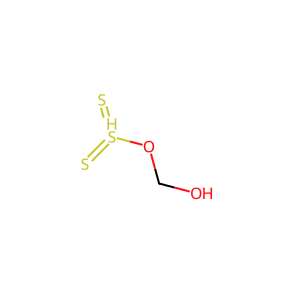 OCO[SH](=S)=S